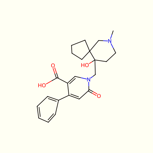 CN1CCC(O)(Cn2cc(C(=O)O)c(-c3ccccc3)cc2=O)C2(CCCC2)C1